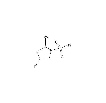 CC(=O)[C@@H]1CC(F)CN1S(=O)(=O)C(C)C